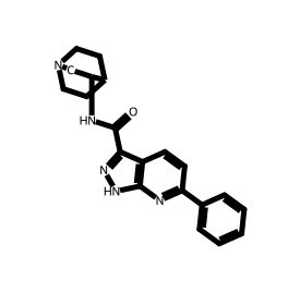 O=C(NC1CN2CCC1CC2)c1n[nH]c2nc(-c3ccccc3)ccc12